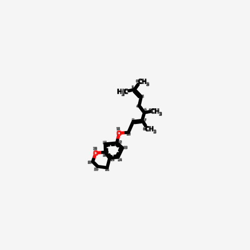 CC(C)=CCC(C)/C(C)=C/COc1ccc2c(c1)OCCC2